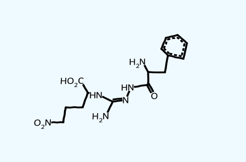 NC(=NNC(=O)C(N)Cc1ccccc1)NC(CCC[N+](=O)[O-])C(=O)O